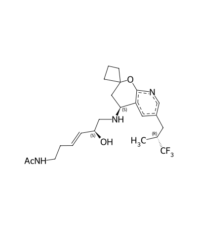 CC(=O)NCCC=C[C@H](O)CN[C@H]1CC2(CCC2)Oc2ncc(C[C@@H](C)C(F)(F)F)cc21